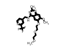 COCCOCCOc1cc2c(NCc3ccnc(C(F)(F)F)c3)nc(C)nc2cc1OC